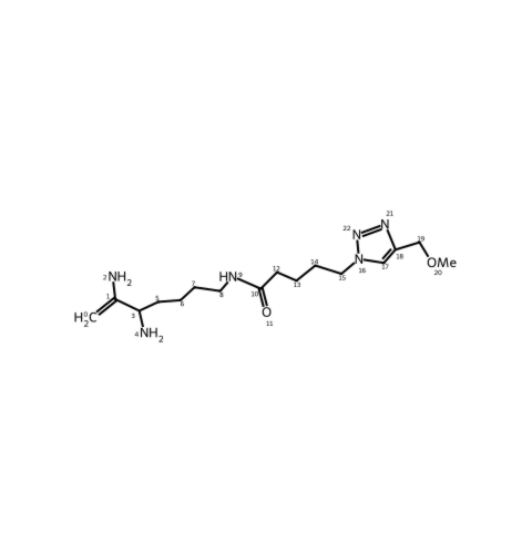 C=C(N)C(N)CCCCNC(=O)CCCCn1cc(COC)nn1